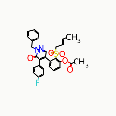 CC=CCS(=O)(=O)c1c(OC(C)=O)cccc1-c1cnn(Cc2ccccc2)c(=O)c1-c1ccc(F)cc1